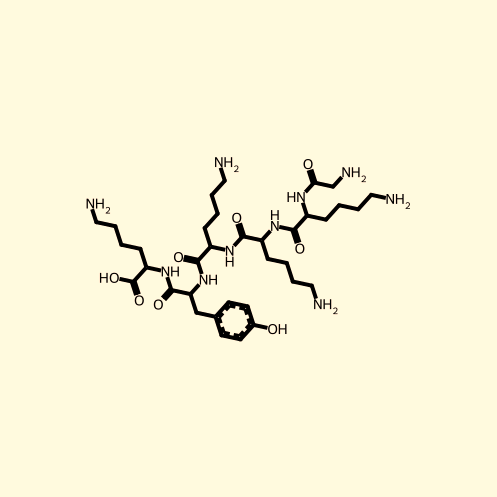 NCCCCC(NC(=O)C(Cc1ccc(O)cc1)NC(=O)C(CCCCN)NC(=O)C(CCCCN)NC(=O)C(CCCCN)NC(=O)CN)C(=O)O